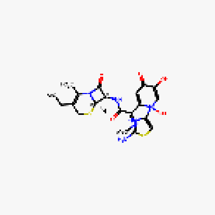 CO/N=C(\C(=O)N[C@@H]1C(=O)N2C(C(=O)O)=C(COC(C)=O)CS[C@H]12)C1=CC(=O)C(O)=C[N+]1(O)c1csc(N)n1